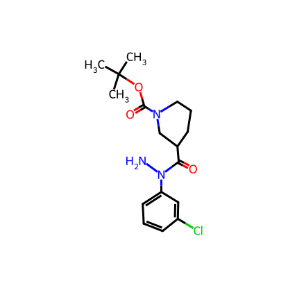 CC(C)(C)OC(=O)N1CCCC(C(=O)N(N)c2cccc(Cl)c2)C1